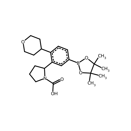 CC1(C)OB(c2ccc(C3CCOCC3)c(C3CCCN3C(=O)O)c2)OC1(C)C